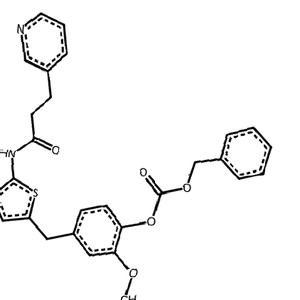 COc1cc(Cc2cnc(NC(=O)CCc3cccnc3)s2)ccc1OC(=O)OCc1ccccc1